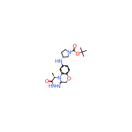 C[C@@H]1C(=O)NN=C2COc3ccc(N[C@@H]4CCN(C(=O)OC(C)(C)C)C4)cc3N21